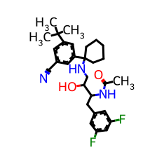 CC(=O)NC(Cc1cc(F)cc(F)c1)C(O)CNC1(c2cc(C#N)cc(C(C)(C)C)c2)CCCCC1